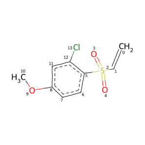 C=CS(=O)(=O)c1ccc(OC)cc1Cl